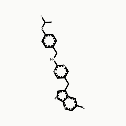 FC(F)Oc1ccc(CNc2ncc(Cc3c[nH]c4ncc(Cl)cc34)cn2)cc1